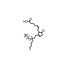 CCCCCC(C)(CCC1=CCC(=O)[C@@H]1C/C=C\CCCC(=O)O)O[Si](C)(C)C(C)(C)C